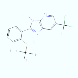 Cn1c(-c2ccccc2[S+]([O-])C(C)(C)C)nc2cc(C(F)(F)F)cnc21